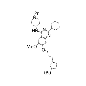 COc1cc2c(NC3CCN(C(C)C)CC3)nc(C3CCCCC3)nc2cc1OCCCN1CCC(C(C)(C)C)C1